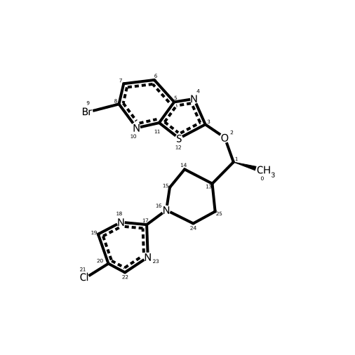 C[C@H](Oc1nc2ccc(Br)nc2s1)C1CCN(c2ncc(Cl)cn2)CC1